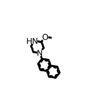 COC1CN(c2ccc3ccccc3c2)CCN1